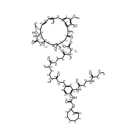 COc1cc2cc(c1Cl)N(C)C(=O)C[C@H](OC(=O)[C@H](C)N(C)C(=O)CCSC(=O)N(C)CCN(C)C(=O)OCc1ccc(NC(=O)OC3/C=C/CCCCC3)c(NC(=O)CCNC(=O)CSC)c1)[C@]1(C)OC1[C@H](C)[C@@H]1C[C@@](O)(NC(=O)O1)[C@H](OC)/C=C/C=C(\C)C2